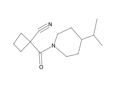 CC(C)C1CCN(C(=O)C2(C#N)CCC2)CC1